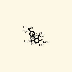 CCC(C)(C)c1ccc(-c2c(C(C)(C)CC)ccc(OP(O)O)c2C(C)(C)CC)cc1